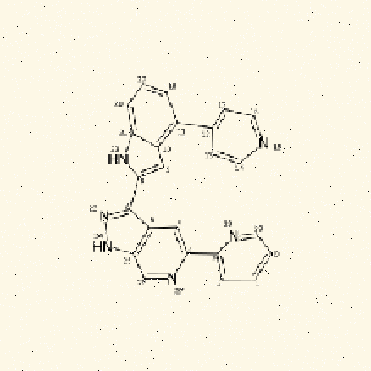 c1ccc(-c2cc3c(-c4cc5c(-c6ccncc6)cccc5[nH]4)n[nH]c3cn2)nc1